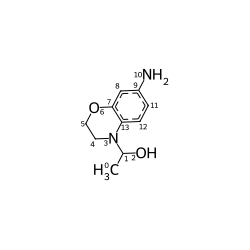 CC(O)N1CCOc2cc(N)ccc21